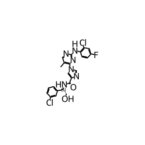 Cc1cnc(Nc2ccc(F)cc2Cl)nc1-n1cnc(C(=O)N[C@H](CO)c2cccc(Cl)c2)c1